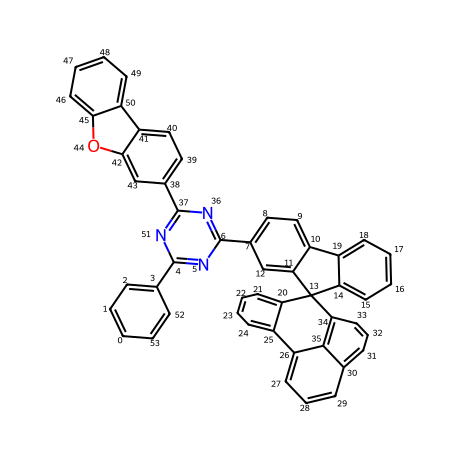 c1ccc(-c2nc(-c3ccc4c(c3)C3(c5ccccc5-4)c4ccccc4-c4cccc5cccc3c45)nc(-c3ccc4c(c3)oc3ccccc34)n2)cc1